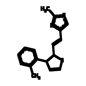 Cc1nc(C=CC2SC=CC2c2ccccc2C)cs1